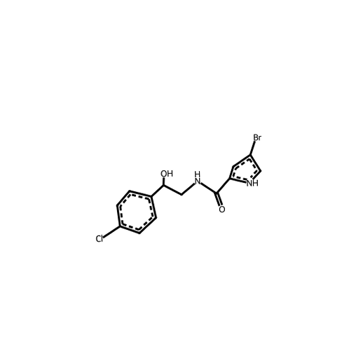 O=C(NCC(O)c1ccc(Cl)cc1)c1cc(Br)c[nH]1